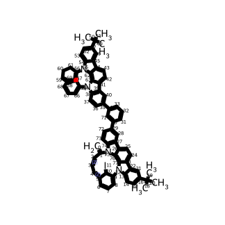 C=C1/C=C\C=C2\C=CC=C(C2I)n2c3ccc(C(C)(C)C)cc3c3ccc4c5cc(-c6cccc(-c7ccc8c(c7)c7ccc9c%10cc(C(C)(C)C)ccc%10n(C%10=CC=CCC%10)c9c7n8-c7ccccc7)c6)ccc5n1c4c32